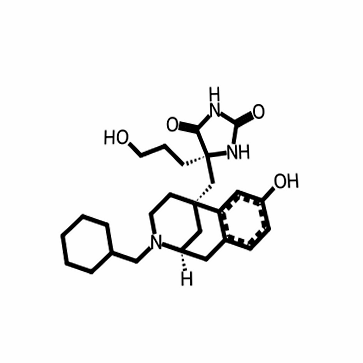 O=C1NC(=O)[C@](CCCO)(C[C@]23CCN(CC4CCCCC4)[C@H](Cc4ccc(O)cc42)C3)N1